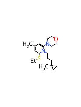 CCSC1C=C(C)C=C(N2CCOCC2)N1CCCC1(C)CC1